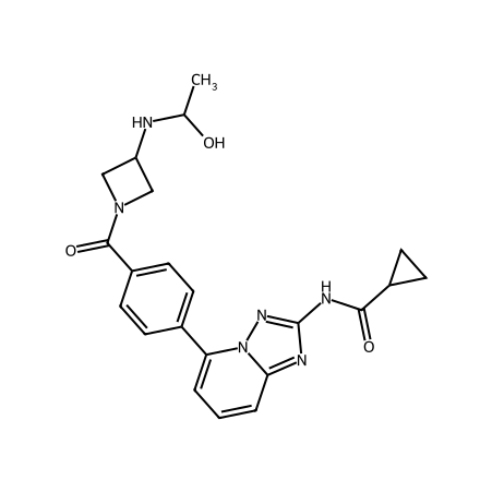 CC(O)NC1CN(C(=O)c2ccc(-c3cccc4nc(NC(=O)C5CC5)nn34)cc2)C1